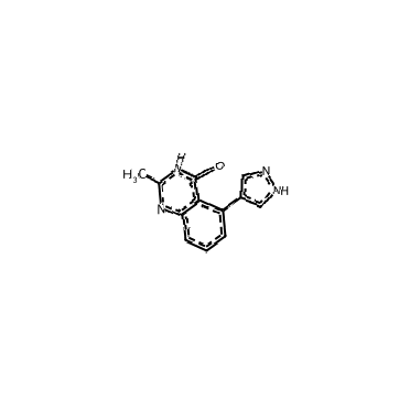 Cc1nc2cccc(-c3cn[nH]c3)c2c(=O)[nH]1